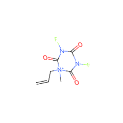 C=CC[N+]1(C)C(=O)N(F)C(=O)N(F)C1=O